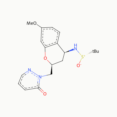 COc1ccc2c(c1)O[C@H](Cn1ncccc1=O)C[C@@H]2N[S@@+]([O-])C(C)(C)C